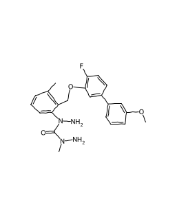 COc1cccc(-c2ccc(F)c(OCc3c(C)cccc3N(N)C(=O)N(C)N)c2)c1